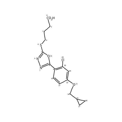 O=C(O)CCCSc1nnc(-c2ccc(OCC3CC3)cc2Cl)o1